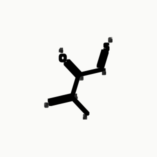 C=C(C)C(=O)[C]=S